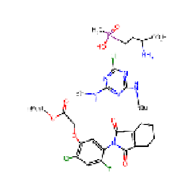 CCCCCOC(=O)COc1cc(N2C(=O)C3=C(CCCC3)C2=O)c(F)cc1Cl.CCNc1nc(Cl)nc(NC(C)(C)C)n1.CP(=O)(O)CCC(N)C(=O)O